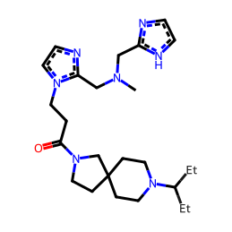 CCC(CC)N1CCC2(CCN(C(=O)CCn3ccnc3CN(C)Cc3ncc[nH]3)C2)CC1